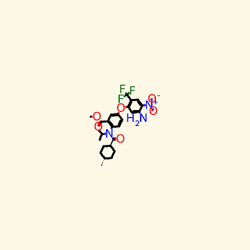 COC(=O)c1cc(Oc2cc(N)c([N+](=O)[O-])cc2C(F)(F)F)ccc1N(C(=O)[C@H]1CC[C@H](C)CC1)C(C)C